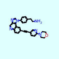 NCCc1ccc(-n2cnc3cnc4ccc(C#Cc5ccc(N6CCOCC6)nc5)cc4c32)cc1